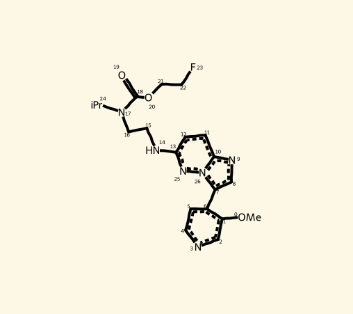 COc1cnccc1-c1cnc2ccc(NCCN(C(=O)OCCF)C(C)C)nn12